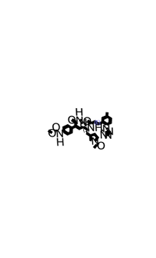 COC(=O)Nc1ccc(-c2cc([C@H](CC3CCN(C(C)=O)C3)NC(=O)/C=C/c3cc(C)ccc3-n3cnnn3)n[nH]c2=O)cc1